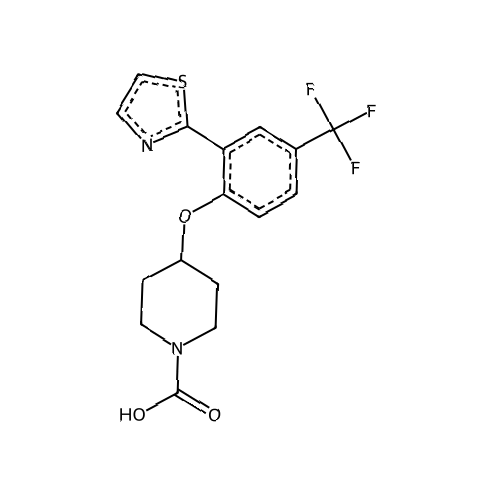 O=C(O)N1CCC(Oc2ccc(C(F)(F)F)cc2-c2nccs2)CC1